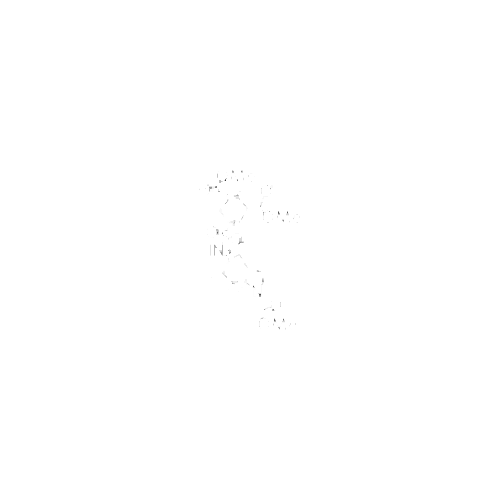 COC(=O)Cn1ccc2cc(NS(=O)(=O)c3cc(C(=O)OC)cc(C(=O)OC)c3)ccc21